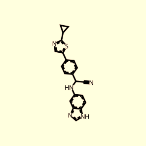 N#CC(Nc1ccc2[nH]cnc2c1)c1ccc(-c2cnc(C3CC3)s2)cc1